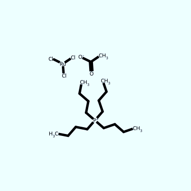 CC(=O)[O-].CCCC[P+](CCCC)(CCCC)CCCC.[Cl][Ru]([Cl])[Cl]